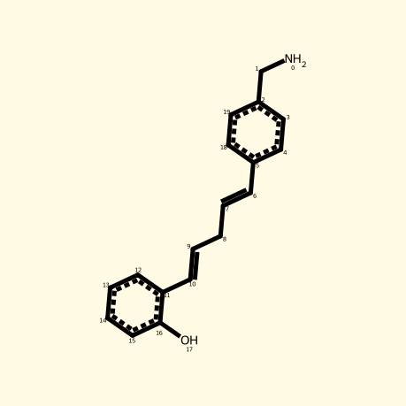 NCc1ccc(C=CCC=Cc2ccccc2O)cc1